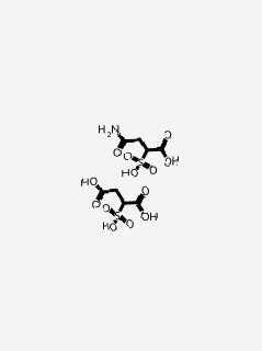 NC(=O)CC(C(=O)O)S(=O)(=O)O.O=C(O)CC(C(=O)O)S(=O)(=O)O